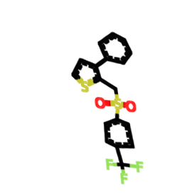 O=S(=O)(Cc1sccc1-c1ccccc1)c1ccc(C(F)(F)F)cc1